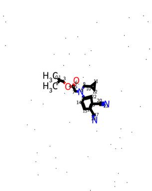 CC(C)COC(=O)CN(CC1CC1)c1ccc(C#N)c(C#N)c1